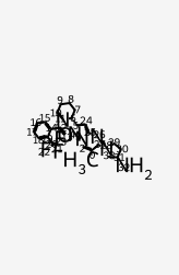 Cc1cn2nc([C@@H]3CCCCN3C(=O)c3ccccc3C(F)(F)F)cc2nc1N1CC[C@H](N)C1